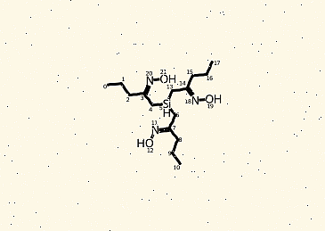 CCCC(C[SiH](CC(CCC)=NO)CC(CCC)=NO)=NO